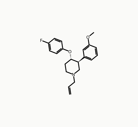 C=CCN1CC[C@H](Oc2ccc(F)cc2)[C@@H](c2cccc(OC)c2)C1